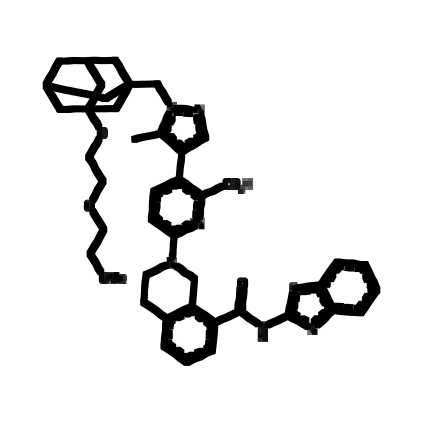 COCCOCCOC12CC3CC(CC(Cn4ncc(-c5ccc(N6CCc7cccc(C(=O)Nc8nc9ccccc9s8)c7C6)nc5C(=O)O)c4C)(C3)C1)C2